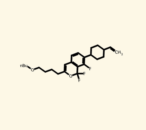 C=CC1CCC(c2ccc3c(c2F)C(F)(F)OC(CCCCOCCCC)=C3)CC1